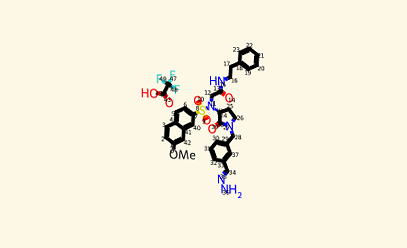 COc1ccc2ccc(S(=O)(=O)N(CC(=O)NCCc3ccccc3)[C@H]3CCN(Cc4cccc(C=NN)c4)C3=O)cc2c1.O=C(O)C(F)(F)F